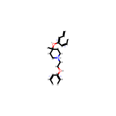 C=C/C=C(\C=C/C)OC1(C)CCN(CCOC(/C=C\C)=C/C)CC1